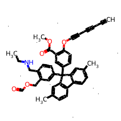 C#CC#CC#COc1ccc(C2(c3ccc(CNCC)c(COC=O)c3)c3cc(C)ccc3-c3ccc(C)cc32)cc1C(=O)OC